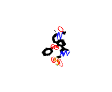 CC(=O)N1c2ccc(-c3cnn(CCS(C)(=O)=O)c3)c(OOC3CCCCC3)c2CC[C@@H]1C